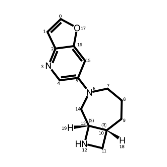 c1cc2ncc(N3CCC[C@@H]4CN[C@@H]4C3)cc2o1